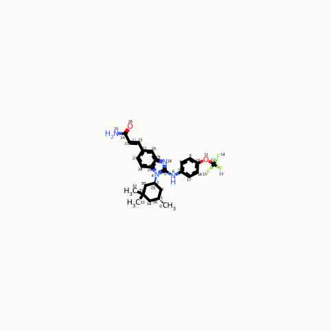 C[C@H]1C[C@H](n2c(Nc3ccc(OC(F)(F)F)cc3)nc3cc(/C=C/C(N)=O)ccc32)CC(C)(C)C1